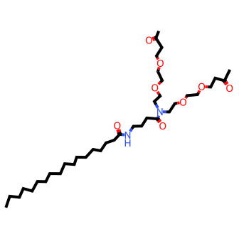 CCCCCCCCCCCCCCCCCC(=O)NCCCC(=O)N(CCOCCOCCC(C)=O)CCOCCOCCC(C)=O